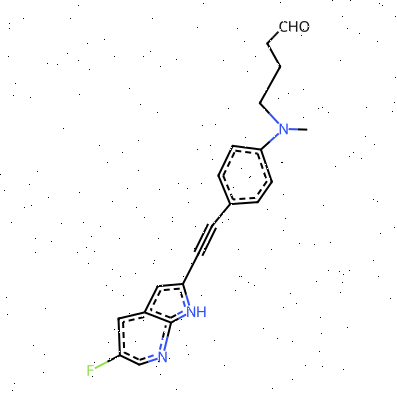 CN(CCCC=O)c1ccc(C#Cc2cc3cc(F)cnc3[nH]2)cc1